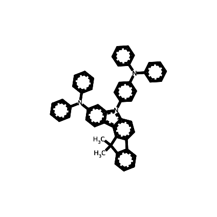 CC1(C)c2ccccc2-c2ccc3c(c21)c1ccc(N(c2ccccc2)c2ccccc2)cc1n3-c1ccc(N(c2ccccc2)c2ccccc2)cc1